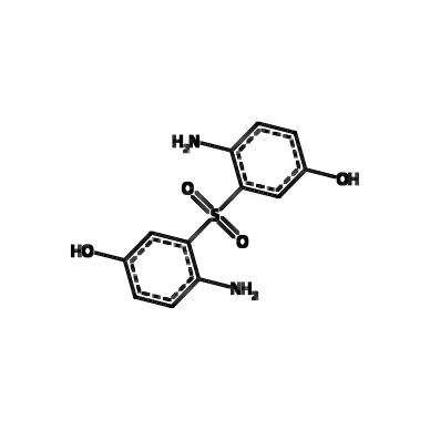 Nc1ccc(O)cc1S(=O)(=O)c1cc(O)ccc1N